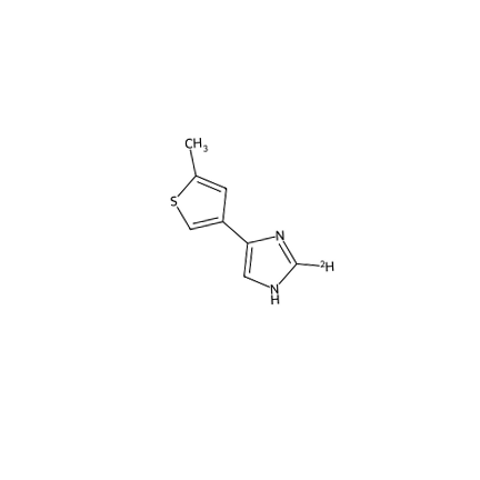 [2H]c1nc(-c2csc(C)c2)c[nH]1